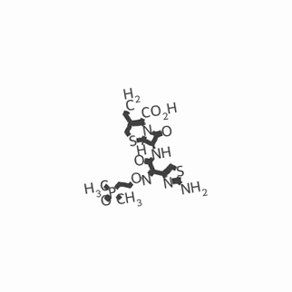 C=CC1=C(C(=O)O)N2C(=O)[C@@H](NC(=O)/C(=N\OCCP(C)(C)=O)c3csc(N)n3)[C@H]2SC1